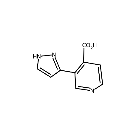 O=C(O)c1ccncc1-c1cc[nH]n1